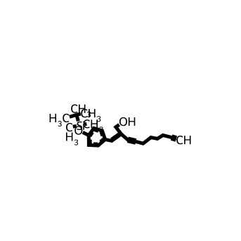 C#CCCCCC#C/C(=C/c1ccc(O[Si](C)(C)C(C)(C)C)cc1)CO